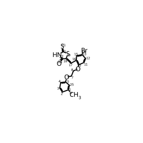 Cc1cccc(OCCOc2ccc(Br)cc2/C=C2\SC(=S)NC2=O)c1